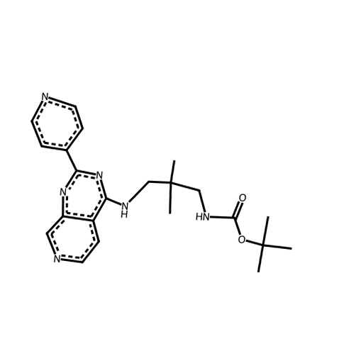 CC(C)(CNC(=O)OC(C)(C)C)CNc1nc(-c2ccncc2)nc2cnccc12